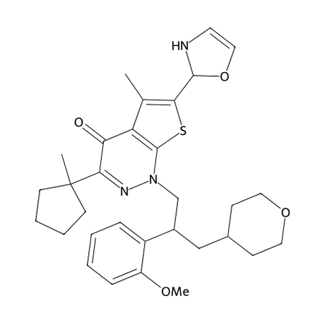 COc1ccccc1C(CC1CCOCC1)Cn1nc(C2(C)CCCC2)c(=O)c2c(C)c(C3NC=CO3)sc21